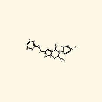 CC1Cn2nc(COc3ccccc3)cc2C(=O)N1C1C=CC(F)=CC1